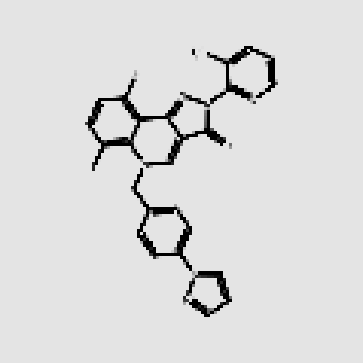 Cc1cccnc1-n1nc2c3c(F)ccc(F)c3n(Cc3ccc(-n4cccn4)cc3)cc-2c1=O